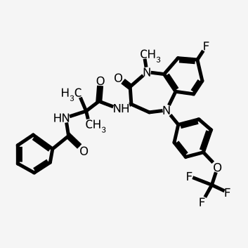 CN1C(=O)[C@H](NC(=O)C(C)(C)NC(=O)c2ccccc2)CN(c2ccc(OC(F)(F)F)cc2)c2ccc(F)cc21